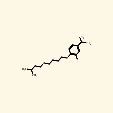 CC(C)CCOCCCCOc1ccc(C(C)C)cc1F